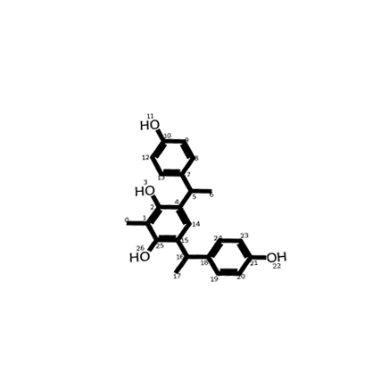 Cc1c(O)c(C(C)c2ccc(O)cc2)cc(C(C)c2ccc(O)cc2)c1O